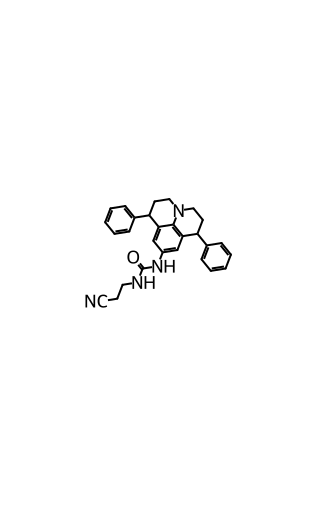 N#CCCNC(=O)Nc1cc2c3c(c1)C(c1ccccc1)CCN3CCC2c1ccccc1